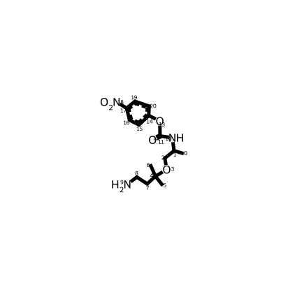 CC(COC(C)(C)CCN)NC(=O)Oc1ccc([N+](=O)[O-])cc1